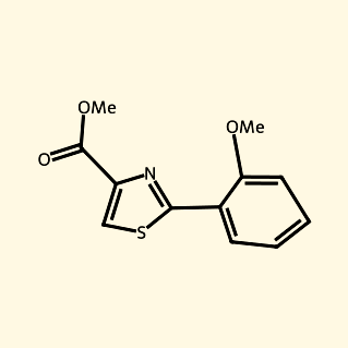 COC(=O)c1csc(-c2ccccc2OC)n1